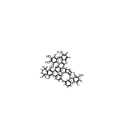 Bc1c(C)c(C)c2sc3c(c2c1C)N(c1c(C)c(C)c(O)c(O)c1C)c1cc(-c2c(O)c(C)c4c(c2O)C(C)(C)CCC4(C)I)cc2c1B3c1ccc3cc1N2C1=CCCC=C1Cc1ccccc1N3c1c(C)c(C)c(C)c(O)c1C